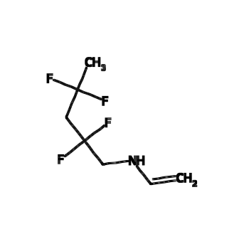 C=CNCC(F)(F)CC(C)(F)F